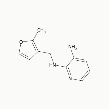 Cc1occc1CNc1ncccc1N